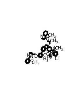 COC(=O)C1(N(C(=O)C(F)(F)F)c2cccc(Cl)c2)CCC2(CC1)c1cc(-c3cc(OCc4ccnc(-c5ccccc5OC)n4)ccc3C)ccc1C[C@@H]2C[C@@H](C)COc1ccnc2c1[C@H](C)CCC2